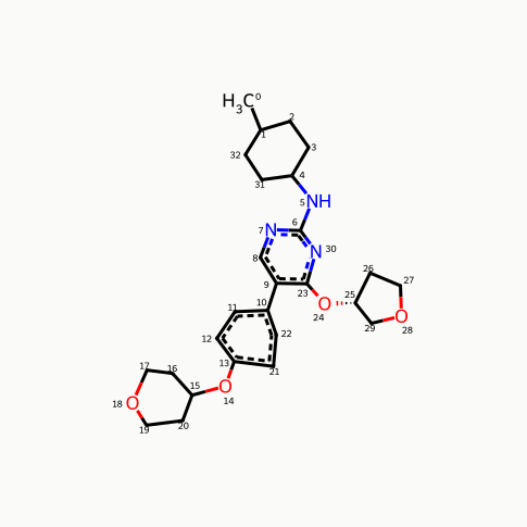 CC1CCC(Nc2ncc(-c3ccc(OC4CCOCC4)cc3)c(O[C@@H]3CCOC3)n2)CC1